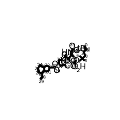 C=CCCC(C)(C)COC(=O)NC(C(=O)N1CC(OC(=O)C2Cc3cccc(C=C)c3C2)CC1C(=O)O)C(C)NC(=O)OC(C)(C)C